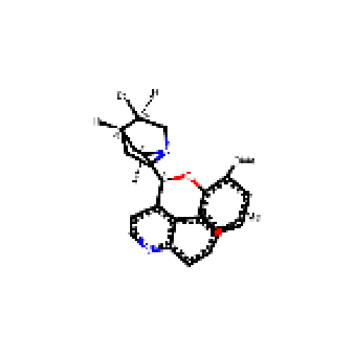 CC[C@H]1CN2CC[C@H]1C[C@@H]2[C@@H](Oc1ccccc1OC)c1ccnc2ccc(OC)cc12